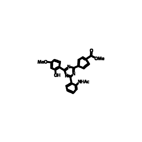 COC(=O)c1ccc(-c2nc(-c3ccc(OC)cc3O)nc(-c3ccccc3NC(C)=O)n2)cc1